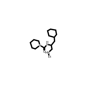 CCNCC(CC1CCCCC1)NC(=O)N1CCCCC1